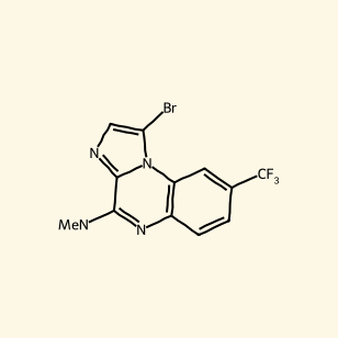 CNc1nc2ccc(C(F)(F)F)cc2n2c(Br)cnc12